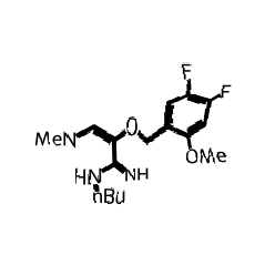 CCCCNC(=N)/C(=C\NC)OCc1cc(F)c(F)cc1OC